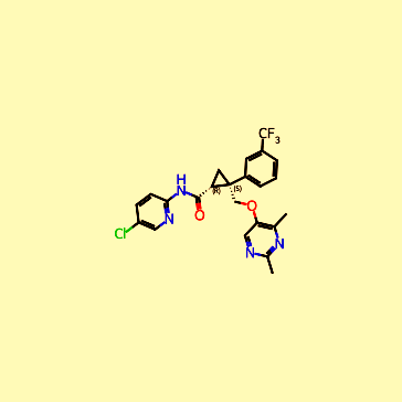 Cc1ncc(OC[C@@]2(c3cccc(C(F)(F)F)c3)C[C@H]2C(=O)Nc2ccc(Cl)cn2)c(C)n1